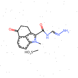 CS(=O)(=O)O.Cn1c(C(=O)NC=NN)c2c3c(cccc31)C(=O)CC2